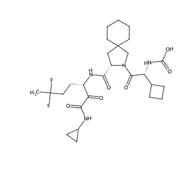 CC(F)(F)CC[C@H](NC(=O)[C@@H]1CC2(CCCCC2)CN1C(=O)[C@H](NC(=O)O)C1CCC1)C(=O)C(=O)NC1CC1